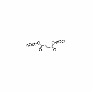 CCCCCCCCOC(=O)C=CC(=O)OCCCCCCCC